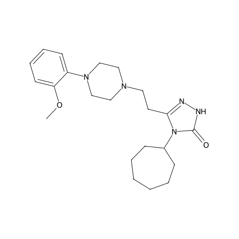 COc1ccccc1N1CCN(CCc2n[nH]c(=O)n2C2CCCCCC2)CC1